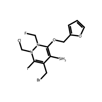 FCN1C(OCc2ccco2)=C([SiH3])C(CBr)=C(I)N1CCl